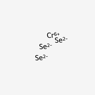 [Cr+6].[Se-2].[Se-2].[Se-2]